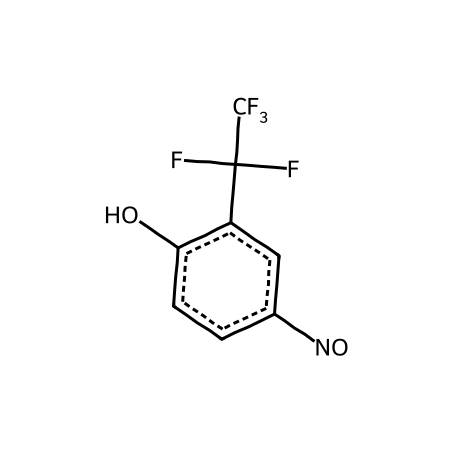 O=Nc1ccc(O)c(C(F)(F)C(F)(F)F)c1